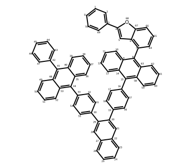 c1ccc(-c2cc3c(-c4c5ccccc5c(-c5ccc(-c6cc7ccccc7cc6-c6ccc(-c7c8ccccc8c(-c8ccccc8)c8ccccc78)cc6)cc5)c5ccccc45)cccc3o2)cc1